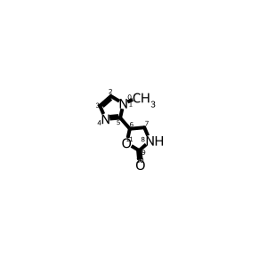 Cn1ccnc1C1CNC(=O)O1